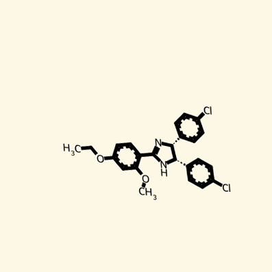 CCOc1ccc(C2=N[C@H](c3ccc(Cl)cc3)[C@H](c3ccc(Cl)cc3)N2)c(OC)c1